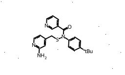 CC(C)(C)c1ccc(N(SCc2ccnc(N)c2)C(=O)c2cccnc2)cc1